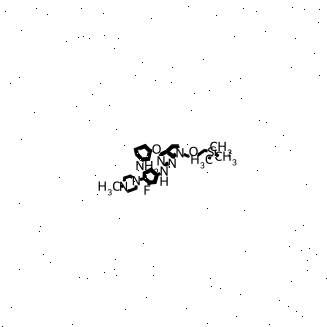 CN1CCN(c2ccc(Nc3nc(Oc4cccc(N)c4)c4ccn(COCC[Si](C)(C)C)c4n3)cc2F)CC1